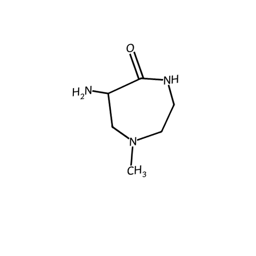 CN1CCNC(=O)C(N)C1